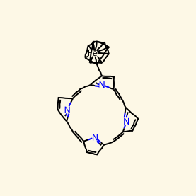 C1=CC2=NC1=CC1=NC(=CC3=NC(=CC4=NC(=C2)C=C4)C=C3[C]23[CH]4[CH]5[CH]6[CH]2[Fe]56432789[CH]3[CH]2[CH]7[CH]8[CH]39)C=C1